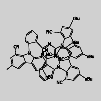 CCCCc1cc(C#N)c2c(c1)c1cc(C(C)(C)C)cc(C#N)c1n2-c1nc(-c2ccccc2-n2c3c(C#N)cc(C)cc3c3cc(CCCC)cc(C#N)c32)nc(-c2ccccc2-n2c3c(C#N)cc(CCCC)cc3c3cc(CCCC)cc(C#N)c32)n1